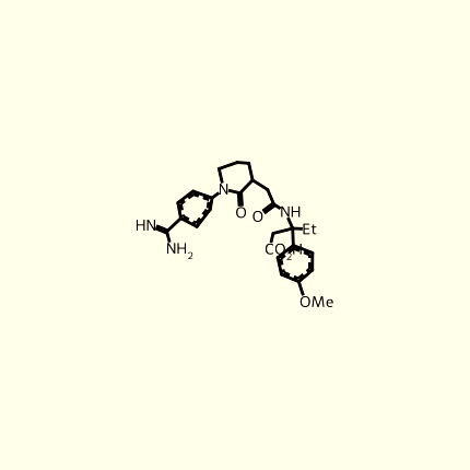 CCC(CC(=O)O)(NC(=O)CC1CCCN(c2ccc(C(=N)N)cc2)C1=O)c1ccc(OC)cc1